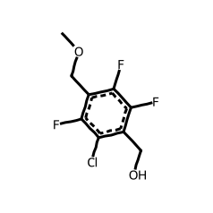 COCc1c(F)c(F)c(CO)c(Cl)c1F